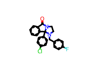 O=C1c2ccccc2C2(c3ccc(Cl)cc3)N(Cc3ccc(F)cc3)CCN12